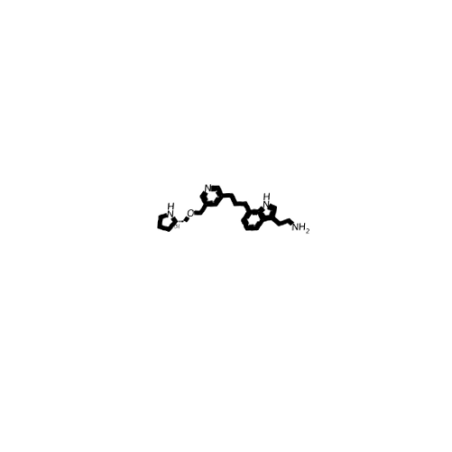 NCCc1c[nH]c2c(CCCc3cncc(COC[C@@H]4CCCN4)c3)cccc12